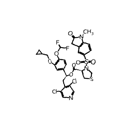 CN1C(=O)Cc2cc(S(=O)(=O)N3CSC[C@H]3C(=O)O[C@@H](Cc3c(Cl)cncc3Cl)c3ccc(OC(F)F)c(OCC4CC4)c3)ccc21